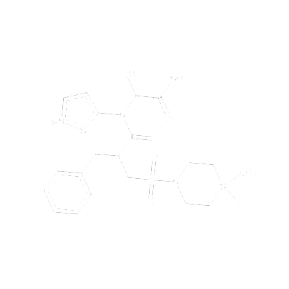 CC(C(N)=O)N(C(=O)C(Cc1ccccc1)CS(=O)(=O)N1CC[N+](C)([O-])CC1)c1cc[nH]n1